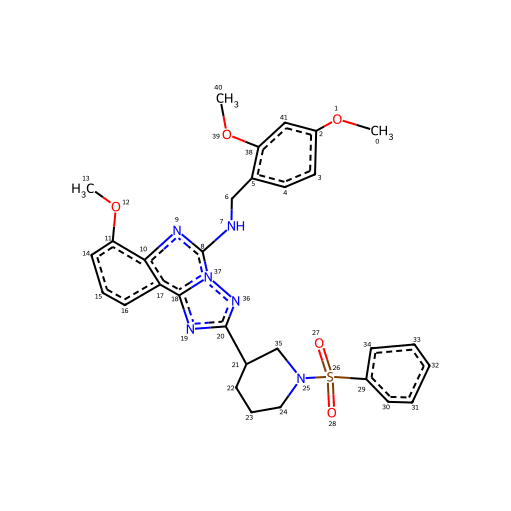 COc1ccc(CNc2nc3c(OC)cccc3c3nc(C4CCCN(S(=O)(=O)c5ccccc5)C4)nn23)c(OC)c1